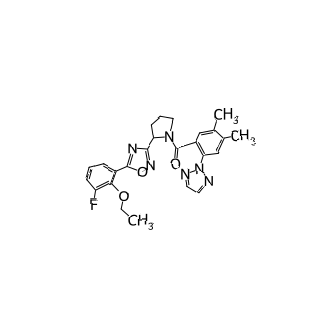 CCOc1c(F)cccc1-c1nc(C2CCCN2C(=O)c2cc(C)c(C)cc2-n2nccn2)no1